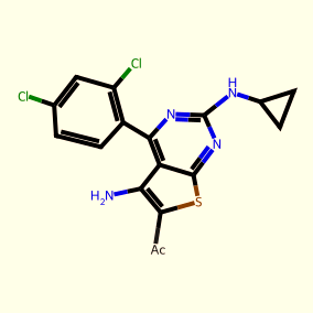 CC(=O)c1sc2nc(NC3CC3)nc(-c3ccc(Cl)cc3Cl)c2c1N